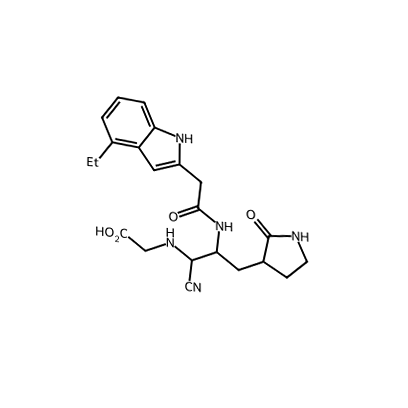 CCc1cccc2[nH]c(CC(=O)NC(CC3CCNC3=O)C(C#N)NCC(=O)O)cc12